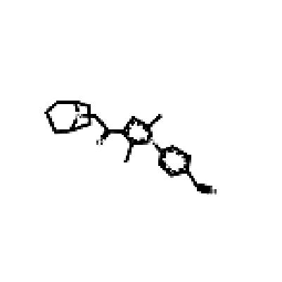 Cc1cc(C(=O)CN2C3CCCC2CC3)c(C)n1-c1ccc(C#N)cc1